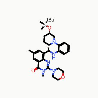 Cc1cc([C@@H](C)Nc2ccccc2N2CCC[C@H](O[Si](C)(C)C(C)(C)C)C2)c2nc(N3CCOCC3)n(C)c(=O)c2c1